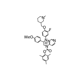 COc1ccc(C(CN(C(=O)Oc2c(C)cc(C)cc2C)c2ccncn2)Nc2ccc(OCC3CCCN(C)C3)c(F)c2)cc1